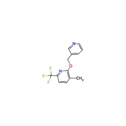 Cc1ccc(C(F)(F)F)nc1OCc1cccnc1